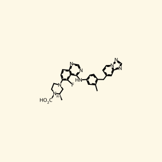 Cc1cc(Nc2ncnc3ccc(N4CCN(C(=O)O)[C@H](C)C4)c(F)c23)ccc1Cc1ccn2ncnc2c1